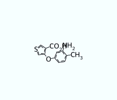 Cc1ccc(Oc2cscc2C(=O)O)cc1N